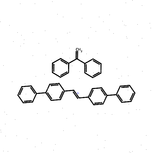 C(=C\c1ccc(-c2ccccc2)cc1)/c1ccc(-c2ccccc2)cc1.C=C(c1ccccc1)c1ccccc1